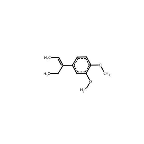 C/C=C(\CC)c1ccc(OC)c(OC)c1